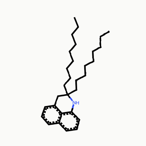 CCCCCCCCCC1(CCCCCCCCC)Cc2cccc3cccc(c23)N1